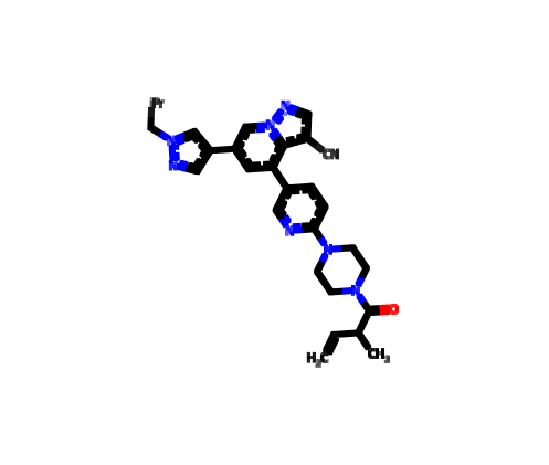 C=CC(C)C(=O)N1CCN(c2ccc(-c3cc(-c4cnn(CC(C)C)c4)cn4ncc(C#N)c34)cn2)CC1